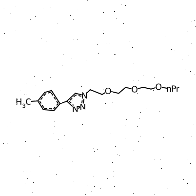 CCCOCCOCCOCCn1cc(-c2ccc(C)cc2)nn1